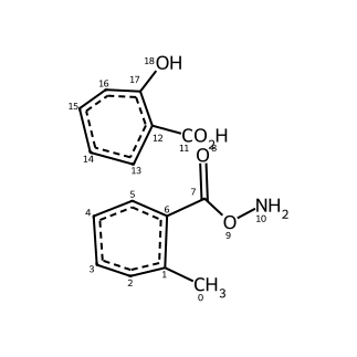 Cc1ccccc1C(=O)ON.O=C(O)c1ccccc1O